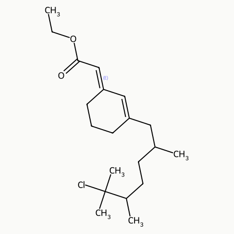 CCOC(=O)/C=C1/C=C(CC(C)CCC(C)C(C)(C)Cl)CCC1